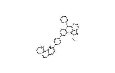 CCc1nc2cccc3c2n1-c1cc(-c2ccc(-c4ccc5ccc6cccnc6c5n4)cc2)ccc1C3c1ccccc1